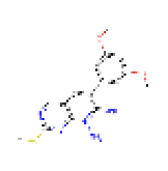 COc1cc(OC)cc(-c2cc3cnc(SC)nc3n(N)c2=N)c1